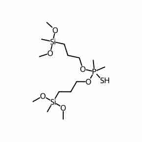 CO[Si](C)(CCCOP(C)(C)(S)OCCC[Si](C)(OC)OC)OC